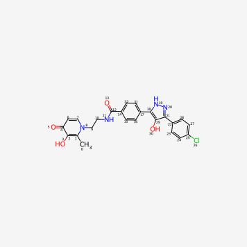 Cc1c(O)c(=O)ccn1CCNC(=O)c1ccc(-c2[nH]nc(-c3ccc(Cl)cc3)c2O)cc1